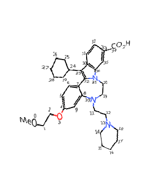 COCCOc1ccc2c(c1)N(CCN1CCCCC1)CCn1c-2c(C2CCCCC2)c2ccc(C(=O)O)cc21